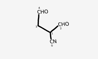 N#CC(C=O)CC=O